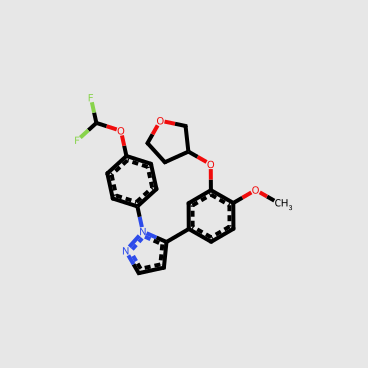 COc1ccc(-c2ccnn2-c2ccc(OC(F)F)cc2)cc1OC1CCOC1